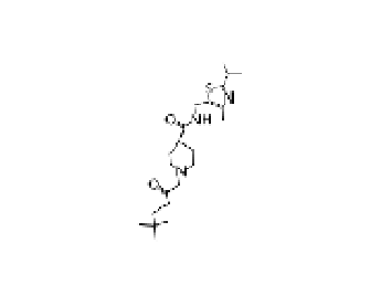 Cc1nc(C(C)C)sc1CNC(=O)C1CCN(CC(=O)CCC(C)(C)C)CC1